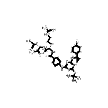 BC(B)(Oc1nc(Nc2ccc(C(=O)N[C@@H](CCCNC(=N)N)C(=O)N[C@@H](CC(N)=O)C(N)=O)cc2)nc(NC2(c3ccc(Cl)cc3)CC2)n1)C(F)(F)F